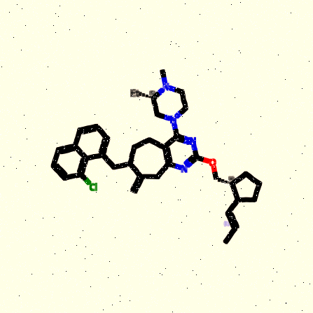 C=C1Cc2nc(OC[C@@H]3CCCC3/C=C/C)nc(N3CCN(C)[C@@H](CC)C3)c2CCC1Cc1cccc2cccc(Cl)c12